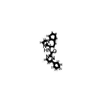 O=C(NC1CCc2ccccc2-n2ccnc21)c1nccc(-c2ccccc2)n1